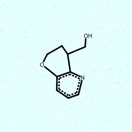 OCC1CCOc2cccnc21